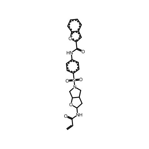 C=CC(=O)NC1CC2CN(S(=O)(=O)c3ccc(NC(=O)c4cc5ccccc5o4)cc3)CC2O1